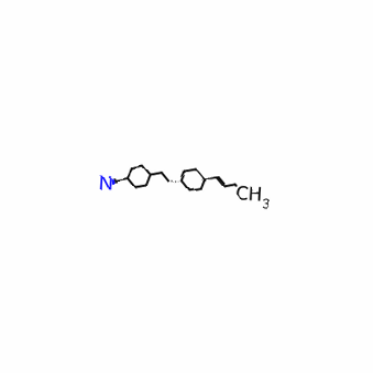 CC/C=C/[C@H]1CC[C@H](CCC2CCC(C#N)CC2)CC1